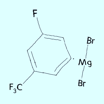 Fc1c[c]cc(C(F)(F)F)c1.[Br][Mg][Br]